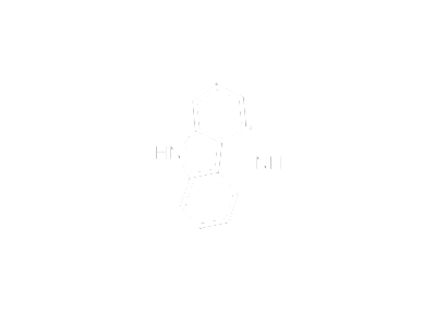 N.[c]1cccc2c1[nH]c1ccccc12